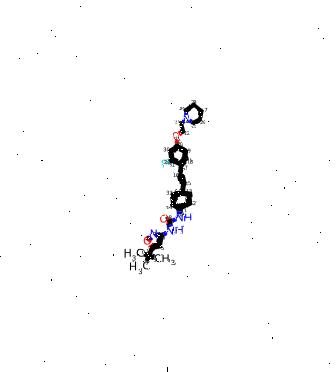 CC(C)(C)c1cc(NC(=O)Nc2ccc(C#Cc3ccc(OCCN4CCCCC4)cc3F)cc2)no1